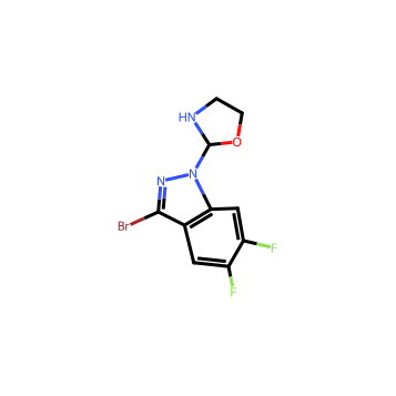 Fc1cc2c(Br)nn(C3NCCO3)c2cc1F